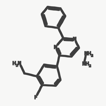 NCc1cc(-c2ccnc(-c3ccccc3)n2)ccc1F.NN